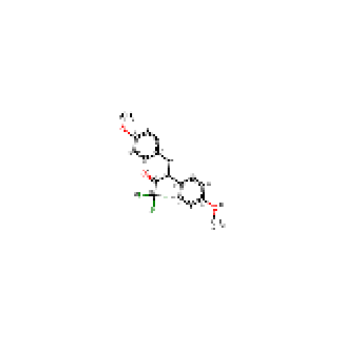 COc1ccc(CC(C(=O)C(F)(F)F)c2ccc(OC)cc2)cc1